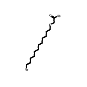 O=C(O)COCCCCCCCCCCCCBr